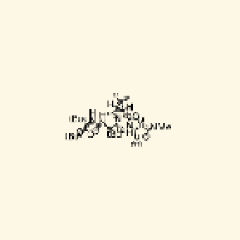 CNC(=O)C(=O)C(NC(=O)[C@@H]1[C@@H]2[C@H](CN1C(=O)[C@@H](NC(=O)N[C@H](C(=O)OC(C)(C)C)C(C)(C)C)C(C)(C)C)C2(C)C)C1CC1